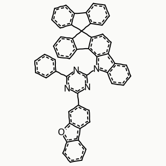 c1ccc(-c2nc(-c3ccc4c(c3)oc3ccccc34)nc(-n3c4ccccc4c4ccc5c(c43)-c3ccccc3C53c4ccccc4-c4ccccc43)n2)cc1